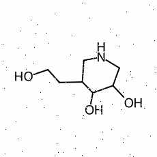 OCCC1CNCC(O)C1O